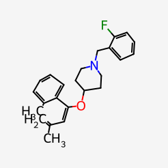 C=C(C)/C=C(/OC1CCN(Cc2ccccc2F)CC1)c1ccccc1C